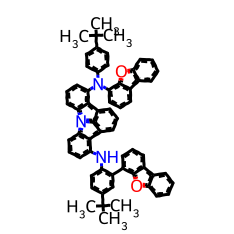 CC(C)(C)c1ccc(N(c2cccc3c2oc2ccccc23)c2cccc3c2c2cccc4c5c(Nc6ccc(C(C)(C)C)cc6-c6cccc7c6oc6ccccc67)cccc5n3c42)cc1